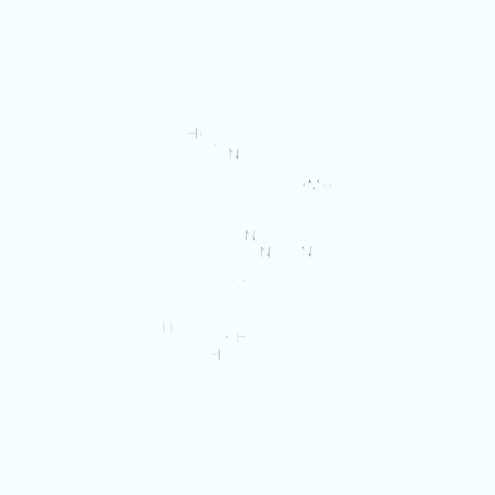 COc1ccnc2c1c(C1=CCN(C(=O)O)CC1)nn2COCC[Si](C)(C)C